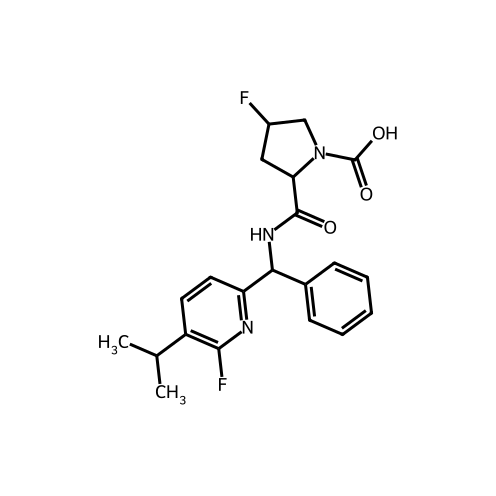 CC(C)c1ccc(C(NC(=O)C2CC(F)CN2C(=O)O)c2ccccc2)nc1F